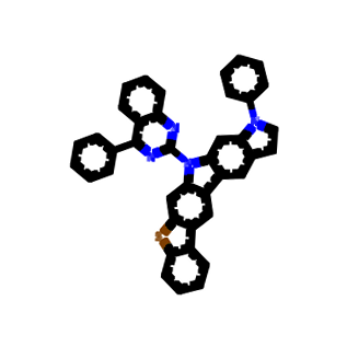 c1ccc(-c2nc(-n3c4cc5sc6ccccc6c5cc4c4cc5ccn(-c6ccccc6)c5cc43)nc3ccccc23)cc1